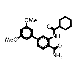 COc1cc(OC)cc(-c2ccc(C(N)=O)c(NC(=O)C3CCCCC3)c2)c1